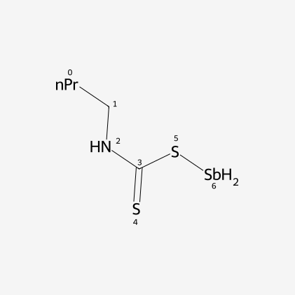 CCCCNC(=S)[S][SbH2]